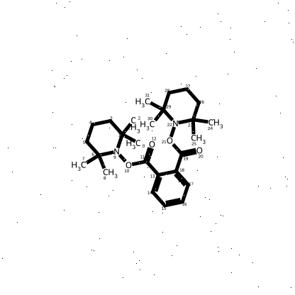 CC1(C)CCCC(C)(C)N1OC(=O)c1ccccc1C(=O)ON1C(C)(C)CCCC1(C)C